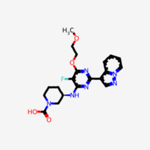 COCCOc1nc(-c2cnn3ccccc23)nc(N[C@@H]2CCCN(C(=O)O)C2)c1F